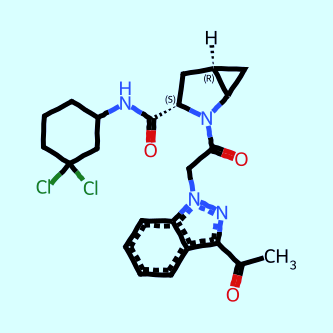 CC(=O)c1nn(CC(=O)N2C3C[C@@H]3C[C@H]2C(=O)NC2CCCC(Cl)(Cl)C2)c2ccccc12